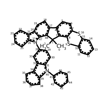 CC1(C)c2c(ccc3c2Sc2ccccc2S3)-c2ccc3c4ccccc4n(-c4ccc5c(c4)c4ccccc4n5-c4ccccc4)c3c21